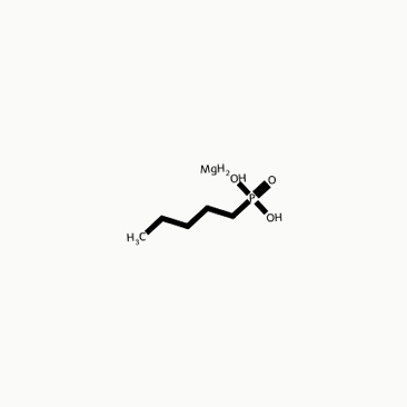 CCCCCP(=O)(O)O.[MgH2]